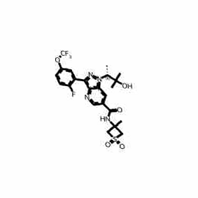 C[C@@H](n1nc(-c2cc(OC(F)(F)F)ccc2F)c2ncc(C(=O)NC3(C)CS(=O)(=O)C3)cc21)C(C)(C)O